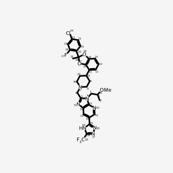 COC(C)Cn1c(CN2CCC(c3cccc4c3OC(C)(c3ccc(Cl)cc3F)O4)CC2)nc2cc(-c3nnc(C(F)(F)F)[nH]3)cnc21